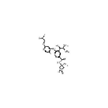 CC(C)C(=N)c1cc(C(=O)NC2(C)CS(=O)(=O)C2)cnc1Nc1cc(OCC(F)F)ncc1F